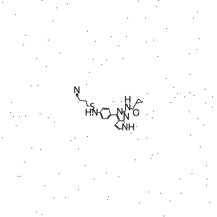 N#CCCCSNc1ccc(-c2nc(NC(=O)C3CC3)nc3[nH]ccc23)cc1